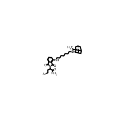 CC(=O)CCC(C(N)=O)N1C(=O)c2cccc(NCCCCCCCNC(C)C34CC5CC6CC(C3)C64C5)c2C1=O